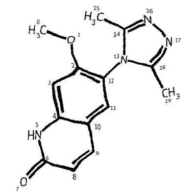 COc1cc2[nH]c(=O)ccc2cc1-n1c(C)nnc1C